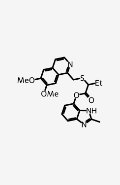 CCC(SCc1nccc2cc(OC)c(OC)cc12)C(=O)Oc1cccc2nc(C)[nH]c12